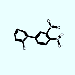 O=[N+]([O-])c1ccc(-c2ccccc2Cl)cc1[N+](=O)[O-]